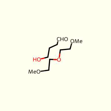 COCCOCCOC.O=CCCCO